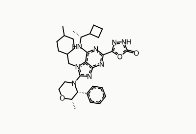 CC1CCC(Cn2c(N3CCO[C@@H](C)[C@H]3c3ccccc3)nc3nc(-c4n[nH]c(=O)o4)nc(N[C@H](C)C4CCC4)c32)CC1